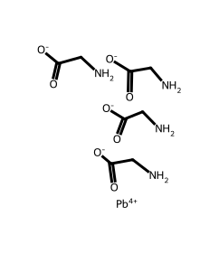 NCC(=O)[O-].NCC(=O)[O-].NCC(=O)[O-].NCC(=O)[O-].[Pb+4]